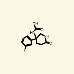 O=C(O)NC1(c2cccc(F)c2)CCC(=O)NC1